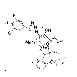 CO[C@@H]1[C@@H](n2cc(-c3cc(F)c(Cl)c(Cl)c3)nn2)[C@@H](O)[C@@H](CO)O[C@H]1SC(c1ncccc1C)C1(O)CCC(F)(F)CC1